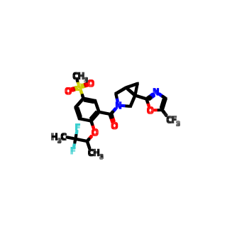 CC(Oc1ccc(S(C)(=O)=O)cc1C(=O)N1CC2CC2(c2ncc(C(F)(F)F)o2)C1)C(C)(F)F